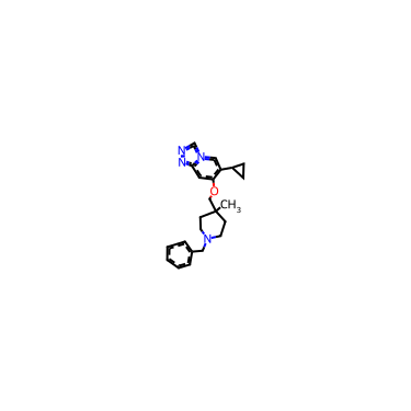 CC1(COc2cc3nncn3cc2C2CC2)CCN(Cc2ccccc2)CC1